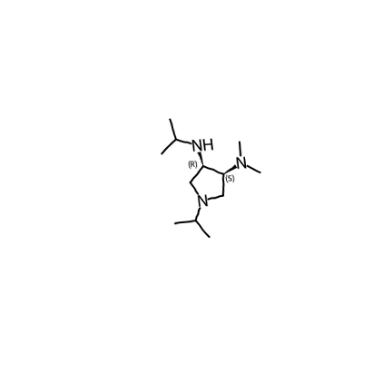 CC(C)N[C@@H]1CN(C(C)C)C[C@@H]1N(C)C